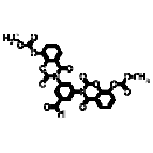 COC(=O)Oc1cccc2c(=O)n(-c3cc(C(=O)Cl)cc(-n4c(=O)oc5c(OC(=O)OC)cccc5c4=O)c3)c(=O)oc12